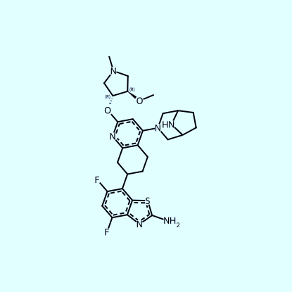 CO[C@@H]1CN(C)C[C@H]1Oc1cc(N2CC3CCC(C2)N3)c2c(n1)CC(c1c(F)cc(F)c3nc(N)sc13)CC2